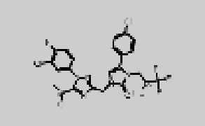 C[C@H](O)c1nc(Cn2cc(-c3ccc(Cl)cc3)n(C[C@H](O)C(F)(F)F)c2=O)nn1-c1ccc(F)c(Cl)c1